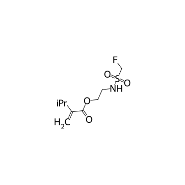 C=C(C(=O)OCCNS(=O)(=O)CF)C(C)C